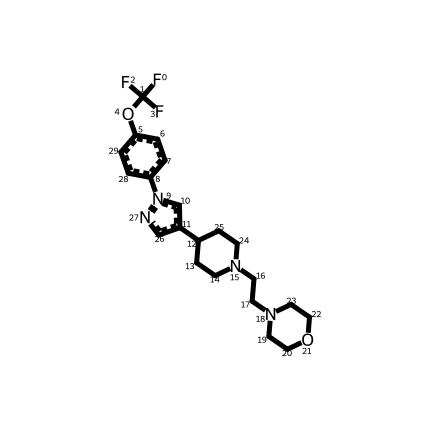 FC(F)(F)Oc1ccc(-n2cc(C3CCN(CCN4CCOCC4)CC3)cn2)cc1